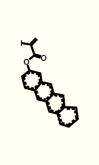 C=C(I)C(=O)Oc1ccc2cc3cc4ccccc4cc3cc2c1